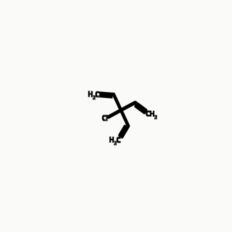 C=CC(Cl)(C=C)C=C